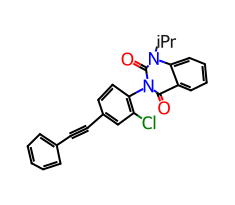 CC(C)n1c(=O)n(-c2ccc(C#Cc3ccccc3)cc2Cl)c(=O)c2ccccc21